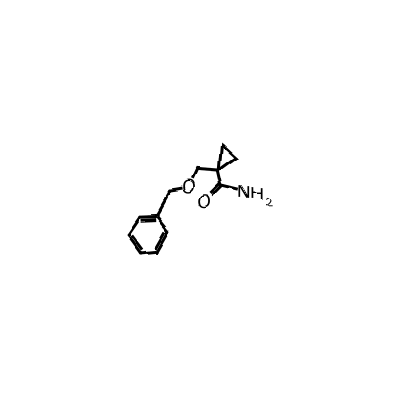 NC(=O)C1(COCc2ccccc2)CC1